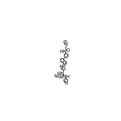 N#C/N=C(\NCc1cnc(-n2ccc3c(-c4cccc(NC(=O)CCN5CCCC5)c4)cccc32)s1)Nc1ccncc1